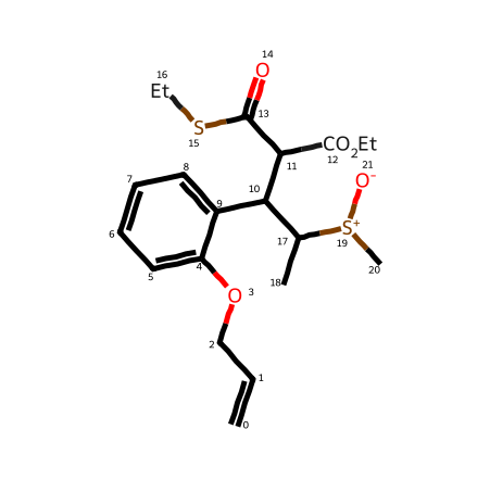 C=CCOc1ccccc1C(C(C(=O)OCC)C(=O)SCC)C(C)[S+](C)[O-]